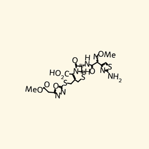 CON=C(C(=O)N[C@@H]1C(=O)N2C(C(=O)O)=C(CSc3nnc(CC(=O)OC)o3)CS[C@@H]12)c1csc(N)n1